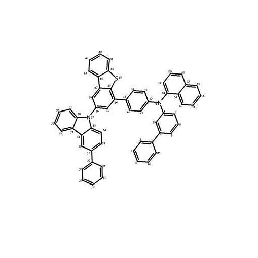 c1ccc(-c2cccc(N(c3ccc(-c4cc(-n5c6ccccc6c6cc(-c7ccccc7)ccc65)cc5c4sc4ccccc45)cc3)c3cccc4ccccc34)c2)cc1